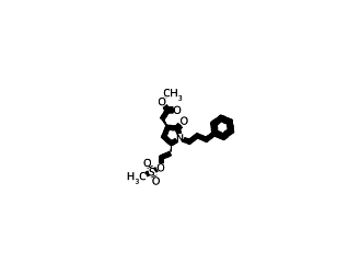 COC(=O)C[C@@H]1C[C@@H](CCOS(C)(=O)=O)N(CCCc2ccccc2)C1=O